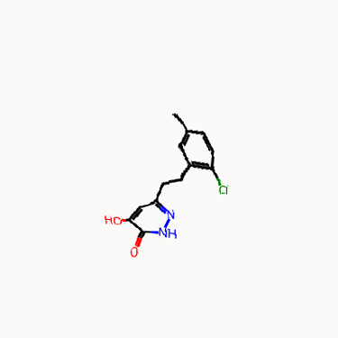 Cc1ccc(Cl)c(CCc2cc(O)c(=O)[nH]n2)c1